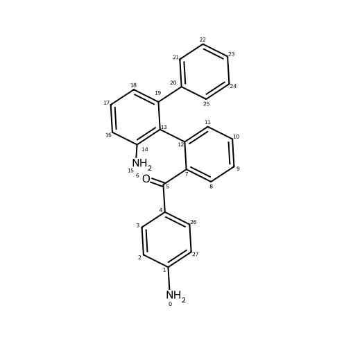 Nc1ccc(C(=O)c2ccccc2-c2c(N)cccc2-c2ccccc2)cc1